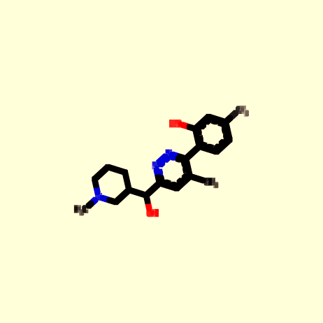 Cc1cc(C(O)C2CCCN(C)C2)nnc1-c1ccc(C(F)(F)F)cc1O